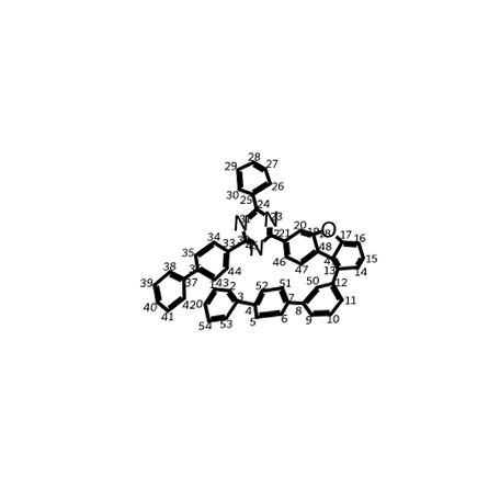 c1ccc(-c2ccc(-c3cccc(-c4cccc5oc6cc(-c7nc(-c8ccccc8)nc(-c8ccc(-c9ccccc9)cc8)n7)ccc6c45)c3)cc2)cc1